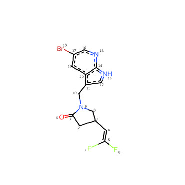 O=C1CC(C=C(F)F)CN1Cc1c[nH]c2ncc(Br)cc12